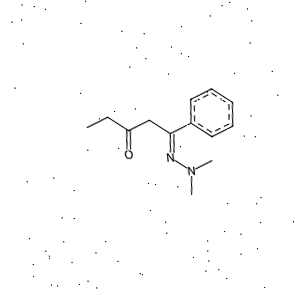 CCC(=O)CC(=NN(C)C)c1ccccc1